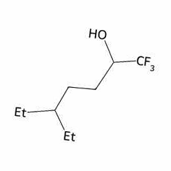 CCC(CC)CCC(O)C(F)(F)F